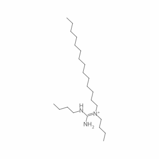 CCCCCCCCCCCCCC[N+](CCCC)=C(N)NCCCC